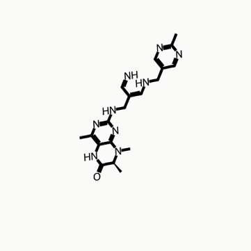 Cc1ncc(CN/C=C(\C=N)CNc2nc(C)c3c(n2)N(C)[C@@H](C)C(=O)N3)cn1